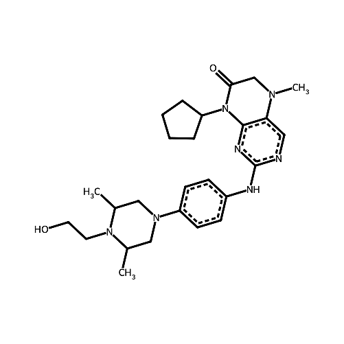 CC1CN(c2ccc(Nc3ncc4c(n3)N(C3CCCC3)C(=O)CN4C)cc2)CC(C)N1CCO